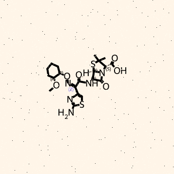 CO[C@@H]1CCCC[C@H]1O/N=C(\C(=O)N[C@@H]1C(=O)N2[C@@H]1SC(C)(C)[C@@H]2C(=O)O)c1csc(N)n1